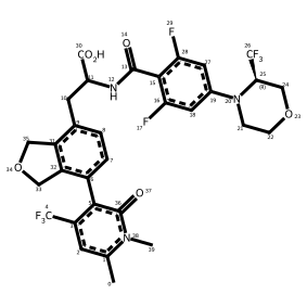 Cc1cc(C(F)(F)F)c(-c2ccc(CC(NC(=O)c3c(F)cc(N4CCOC[C@@H]4C(F)(F)F)cc3F)C(=O)O)c3c2COC3)c(=O)n1C